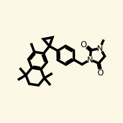 Cc1cc2c(cc1C1(c3ccc(CN4C(=O)CN(C)C4=O)cc3)CC1)C(C)(C)CCC2(C)C